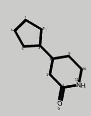 O=C1CC(C2CCCC2)CCN1